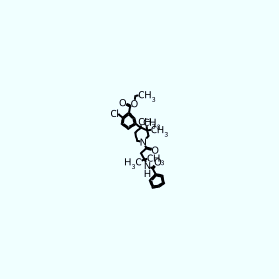 CCOC(=O)c1cc(C2(C)CCN(C(=O)CC(C)(C)NC(=O)c3ccccc3)CC2(C)C)ccc1Cl